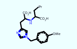 COc1ccc(Cn2cnc(CC(NC(CC(C)C)C(=O)O)C(=O)O)c2)cc1